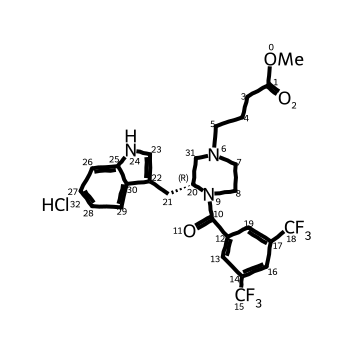 COC(=O)CCCN1CCN(C(=O)c2cc(C(F)(F)F)cc(C(F)(F)F)c2)[C@H](Cc2c[nH]c3ccccc23)C1.Cl